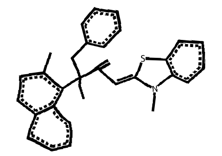 C=C(/C=C1\Sc2ccccc2N1C)C(C)(Cc1ccccc1)c1c(C)ccc2ccccc12